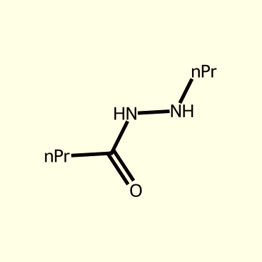 CCCNNC(=O)CCC